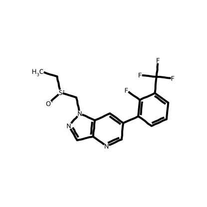 CC[S+]([O-])Cn1ncc2ncc(-c3cccc(C(F)(F)F)c3F)cc21